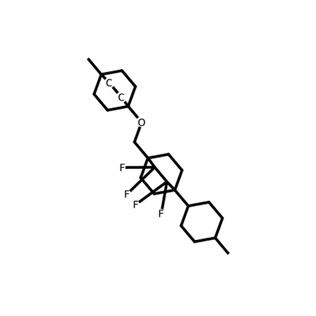 CC1CCC(C23CCC(COC45CCC(C)(CC4)CC5)(CC2)C(F)(F)C3(F)F)CC1